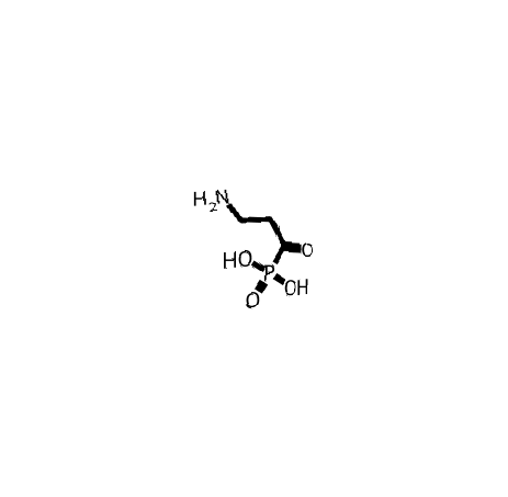 NCCC(=O)P(=O)(O)O